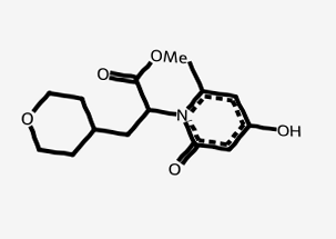 COC(=O)C(CC1CCOCC1)n1c(C)cc(O)cc1=O